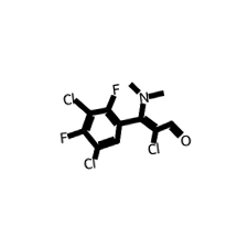 CN(C)C(=C(Cl)C=O)c1cc(Cl)c(F)c(Cl)c1F